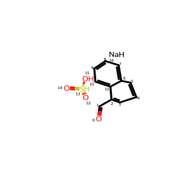 O=Cc1cccc2ccccc12.O=[SH](=O)O.[NaH]